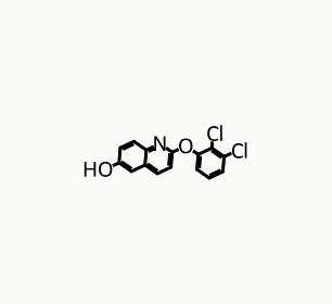 Oc1ccc2nc(Oc3cccc(Cl)c3Cl)ccc2c1